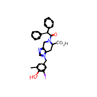 Cc1cc(Cn2cnc3c2CC(C(=O)O)N(C(=O)C(c2ccccc2)c2ccccc2)C3)cc(I)c1O